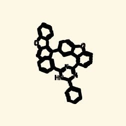 c1ccc(C2=NC(c3cccc4oc5ccc(-c6cccc7oc8ccccc8c67)cc5c34)=NC(c3ccccc3)N2)cc1